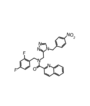 O=C(c1ccc2ccccc2n1)N(Cc1ccc(F)cc1F)Cc1nncn1Cc1ccc([N+](=O)[O-])cc1